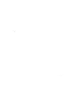 CCCCCC=CCC=CCCCCCCCCN(C)C